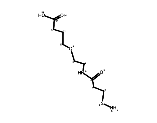 NSCCC(=O)NCCOCCCC(=O)O